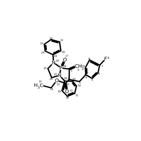 C=C(C(Cc1ccc(F)cc1)C(=O)OCC)P1(=O)N(c2ccccc2)CCN1c1ccccc1